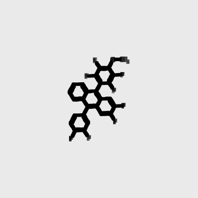 COc1c(F)c(F)c(-c2c3ccccc3c(-c3ccc(F)c(F)c3)c3cc(F)c(F)cc23)c(F)c1F